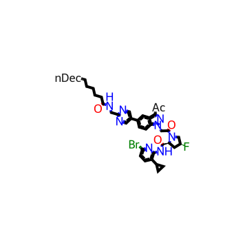 CCCCCCCCCCCCCCCC(=O)NCc1ncc(-c2ccc3c(c2)c(C(C)=O)nn3CC(=O)N2C[C@H](F)C[C@H]2C(=O)Nc2nc(Br)ccc2C2CC2)cn1